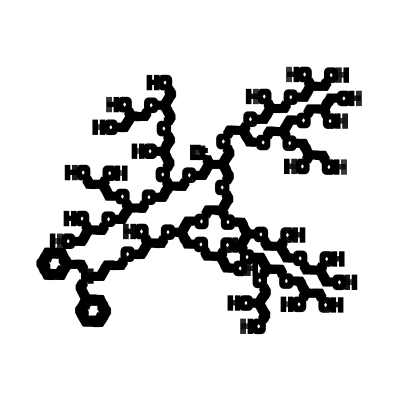 CCC(COCC(COCC(COCC(O)CO)OCC(O)CO)OCC(O)COCC(CO)OCC(O)CO)C(COCC(COCC(COCC(O)CO)OCC(O)CO)OCC(O)COCC(O)CO)COCC(COCC(COCC(O)CO)OCC(O)COCCCN(Cc1ccccc1)Cc1ccccc1)OCC(COCC(COCC(O)CO)OCC(O)CO)OCC(O)COCC(O)CO